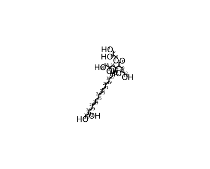 O=C(OCC(O)CO)C(CC(O)CO)C(CCCCCCCCCCCCCCCCC(O)CO)CC(O)CO